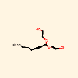 CCCCCCCCCCCCC#CC(O/C=C/O)OCCO